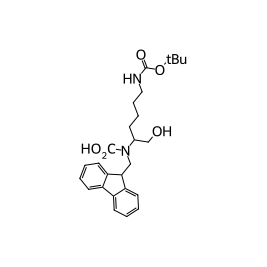 CC(C)(C)OC(=O)NCCCCC(CO)N(CC1c2ccccc2-c2ccccc21)C(=O)O